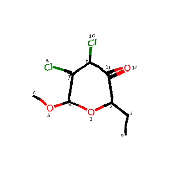 CCC1OC(OC)C(Cl)C(Cl)C1=O